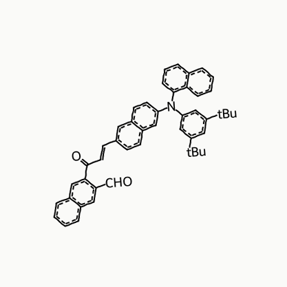 CC(C)(C)c1cc(N(c2ccc3cc(/C=C/C(=O)c4cc5ccccc5cc4C=O)ccc3c2)c2cccc3ccccc23)cc(C(C)(C)C)c1